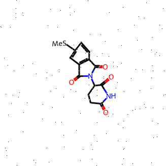 CSc1ccc2c(c1)C(=O)N(C1CCC(=O)NC1=O)C2=O